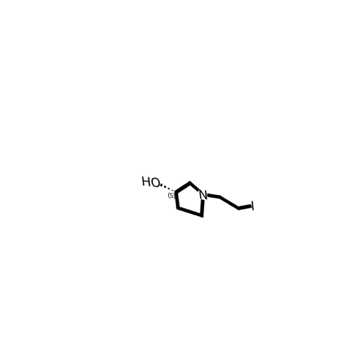 O[C@H]1CCN(CCI)C1